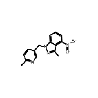 Cc1ccc(Cn2nc(I)c3c([N+](=O)[O-])cccc32)cn1